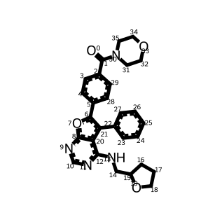 O=C(c1ccc(-c2oc3ncnc(NCC4CCCO4)c3c2-c2ccccc2)cc1)N1CCOCC1